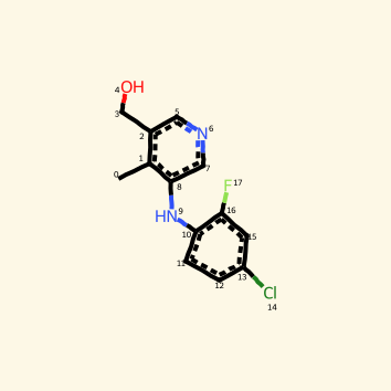 Cc1c(CO)cncc1Nc1ccc(Cl)cc1F